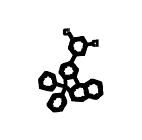 Clc1cc(Cl)cc(-c2ccc3c(c2)-c2c(ccc4ccccc24)C3(c2ccccc2)c2ccccc2)c1